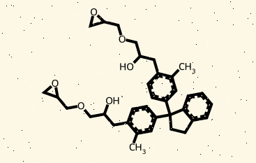 Cc1cc(C2(c3ccc(CC(O)COCC4CO4)c(C)c3)CCc3ccccc32)ccc1CC(O)COCC1CO1